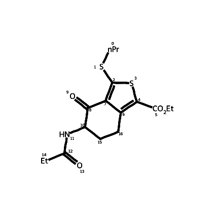 CCCSc1sc(C(=O)OCC)c2c1C(=O)C(NC(=O)CC)CC2